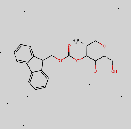 B[C@@H]1COC(CO)C(O)C1OC(=O)OCC1c2ccccc2-c2ccccc21